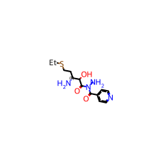 CCSCC[C@@H](N)C(O)C(=O)N(N)C(=O)c1ccncc1